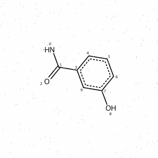 [NH]C(=O)c1cccc(O)c1